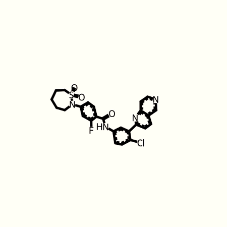 O=C(Nc1ccc(Cl)c(-c2ccc3cnccc3n2)c1)c1ccc(N2CCCCCS2(=O)=O)cc1F